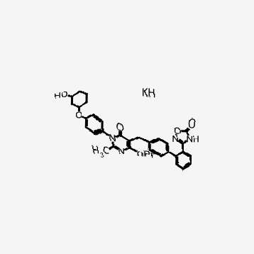 CCCc1nc(C)n(-c2ccc(OC3CCCC(O)C3)cc2)c(=O)c1Cc1ccc(-c2ccccc2-c2noc(=O)[nH]2)cc1.[KH]